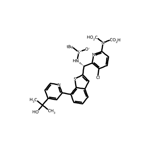 CC(C)(O)c1ccnc(-c2cccc3cc([C@H](N[S+]([O-])C(C)(C)C)c4nc(N(C(=O)O)C(=O)O)ccc4Cl)sc23)c1